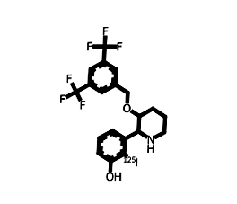 Oc1cccc(C2NCCCC2OCc2cc(C(F)(F)F)cc(C(F)(F)F)c2)c1[125I]